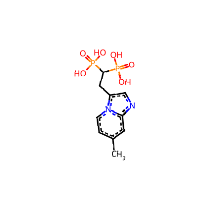 Cc1ccn2c(CC(P(=O)(O)O)P(=O)(O)O)cnc2c1